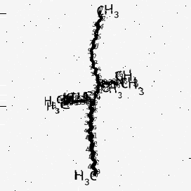 CCCCCCCC/C=C/CCCCCCCC[N+](C)(CCCCN(C)C)CCCC[N+](C)(CCCCCCCC/C=C/CCCCCCCC)CCC[N+](C)(C)C